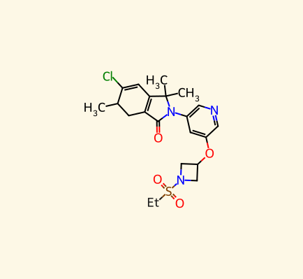 CCS(=O)(=O)N1CC(Oc2cncc(N3C(=O)C4=C(C=C(Cl)C(C)C4)C3(C)C)c2)C1